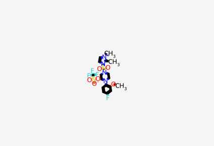 COc1cc(F)ccc1N1CCN(S(=O)(=O)n2cc[n+](C)c2C)CC1.O=S(=O)([O-])C(F)(F)F